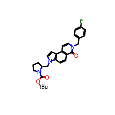 CC(C)(C)OC(=O)N1CCC[C@H]1Cn1ccc2c3ccn(Cc4ccc(F)cc4)c(=O)c3ccc21